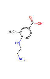 Cc1cc(C(=O)O)ccc1NCCN